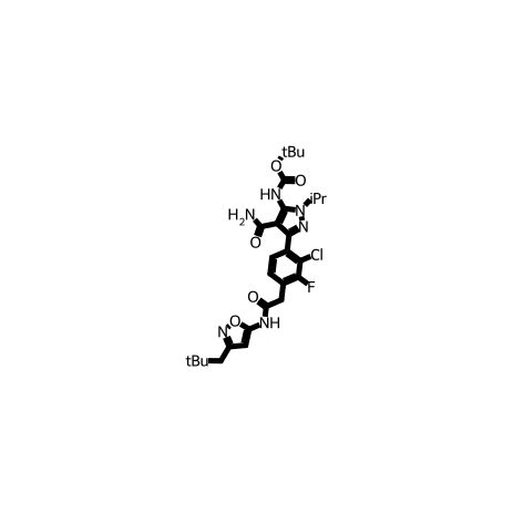 CC(C)n1nc(-c2ccc(CC(=O)Nc3cc(CC(C)(C)C)no3)c(F)c2Cl)c(C(N)=O)c1NC(=O)OC(C)(C)C